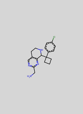 NCc1ncc2c(n1)C(C1(c3ccc(Cl)cc3)CCC1)NCC2